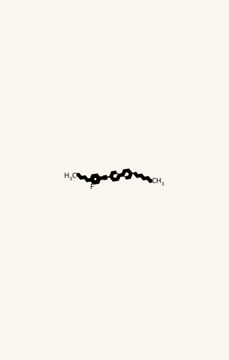 CCCCCCC[C@H]1CC[C@H]([C@H]2CC[C@H](C#Cc3ccc(CCCCC)c(F)c3)CC2)CC1